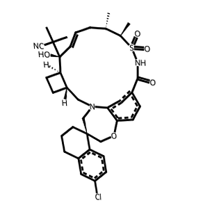 C[C@@H]1[C@@H](C)C/C=C/[C@@](O)(C(C)(C)C#N)[C@@H]2CC[C@H]2CN2C[C@@]3(CCCc4cc(Cl)ccc43)COc3ccc(cc32)C(=O)NS1(=O)=O